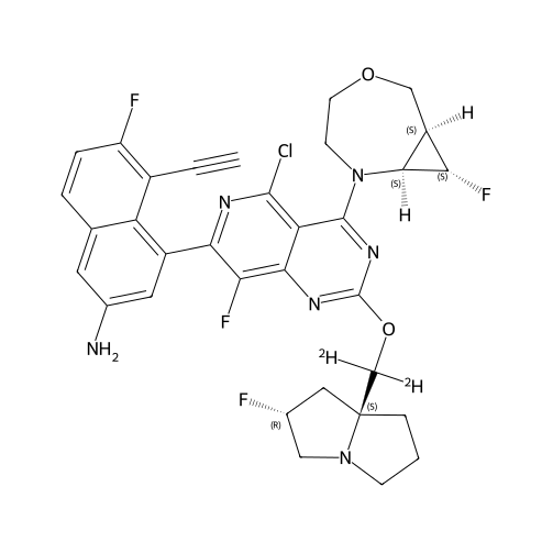 [2H]C([2H])(Oc1nc(N2CCOC[C@H]3[C@H](F)[C@H]32)c2c(Cl)nc(-c3cc(N)cc4ccc(F)c(C#C)c34)c(F)c2n1)[C@@]12CCCN1C[C@H](F)C2